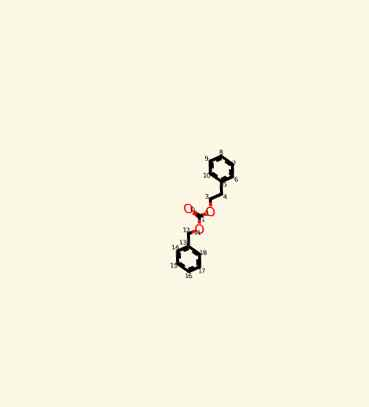 O=C(OCCc1ccccc1)OCc1ccccc1